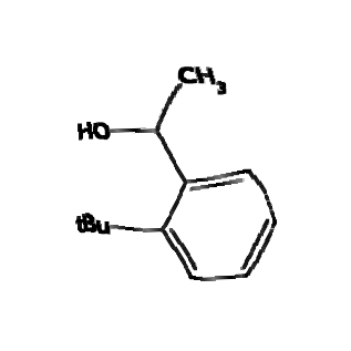 CC(O)c1ccccc1C(C)(C)C